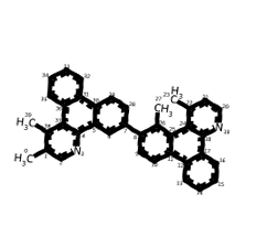 Cc1cnc2c3cc(-c4ccc5c6ccccc6c6nccc(C)c6c5c4C)ccc3c3ccccc3c2c1C